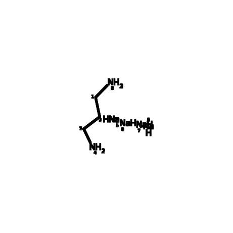 NCCCN.[NaH].[NaH].[NaH].[NaH]